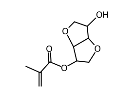 C=C(C)C(=O)OC1COC2C(O)COC12